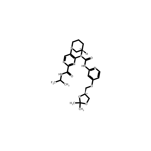 CC(NC(=O)c1ncc2c(n1)N(C(=O)Nc1cc(OC[C@H]3COC(C)(C)O3)ccn1)[C@H]1CCCN2C1)C(F)(F)F